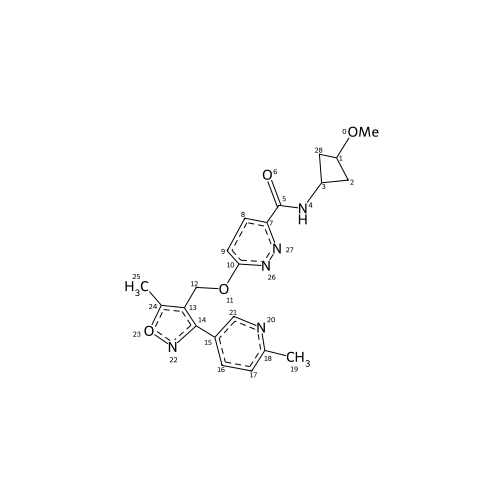 COC1CC(NC(=O)c2ccc(OCc3c(-c4ccc(C)nc4)noc3C)nn2)C1